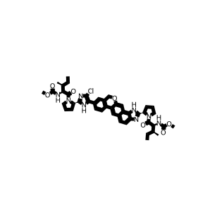 CC[C@H](C)[C@H](NC(=O)OC)C(=O)N1CCC[C@H]1c1nc(Cl)c(-c2ccc3c(c2)COc2cc4c(ccc5nc([C@@H]6CCCN6C(=O)[C@@H](NC(=O)OC)[C@@H](C)CC)[nH]c54)cc2-3)[nH]1